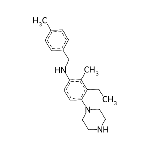 CCc1c(N2CCNCC2)ccc(NCc2ccc(C)cc2)c1C